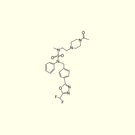 CC(=O)N1CCN(CCN(C)S(=O)(=O)N(Cc2ccc(-c3nnc(C(F)F)o3)cc2)c2ccccc2)CC1